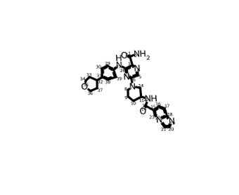 NC(=O)c1ncc(N2CCCC(NC(=O)c3ccc4nccn4c3)C2)nc1Nc1ccc(C2CCOCC2)cc1